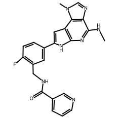 CNc1nc2[nH]c(-c3ccc(F)c(CNC(=O)c4cccnc4)c3)cc2c2c1ncn2C